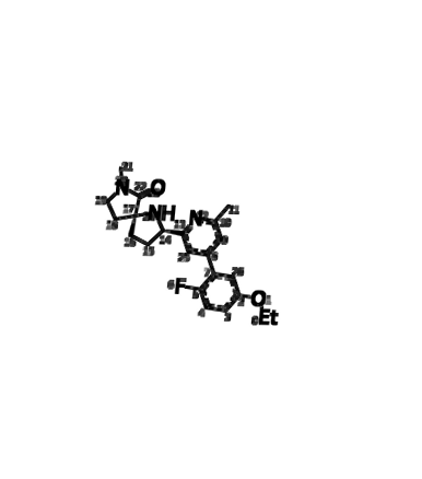 CCOc1ccc(F)c(-c2cc(C)nc([C@H]3CC[C@]4(CCN(C)C4=O)N3)c2)c1